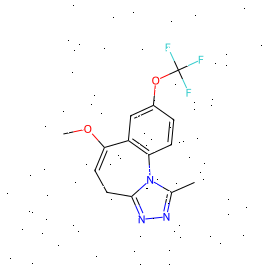 COC1=CCc2nnc(C)n2-c2ccc(OC(F)(F)F)cc21